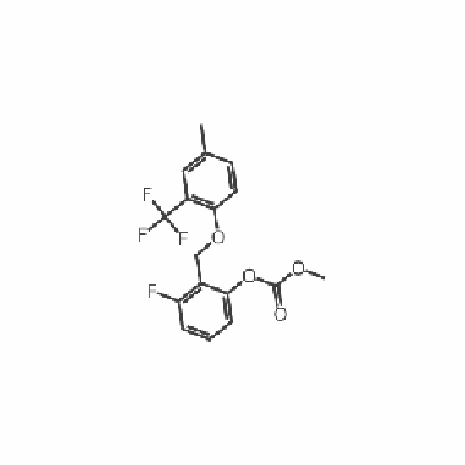 COC(=O)Oc1cccc(F)c1COc1ccc(C)cc1C(F)(F)F